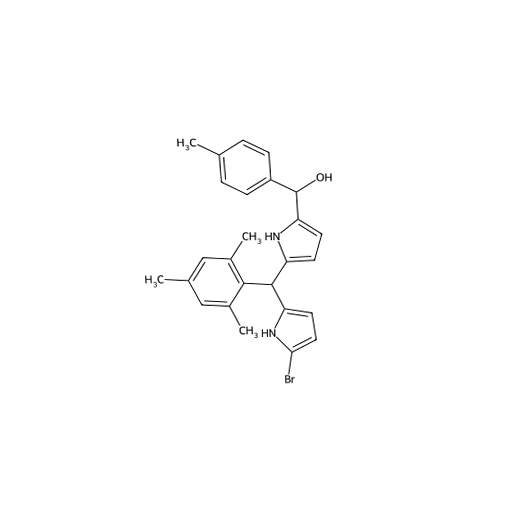 Cc1ccc(C(O)c2ccc(C(c3ccc(Br)[nH]3)c3c(C)cc(C)cc3C)[nH]2)cc1